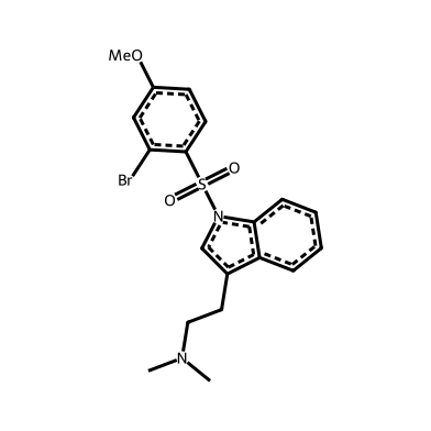 COc1ccc(S(=O)(=O)n2cc(CCN(C)C)c3ccccc32)c(Br)c1